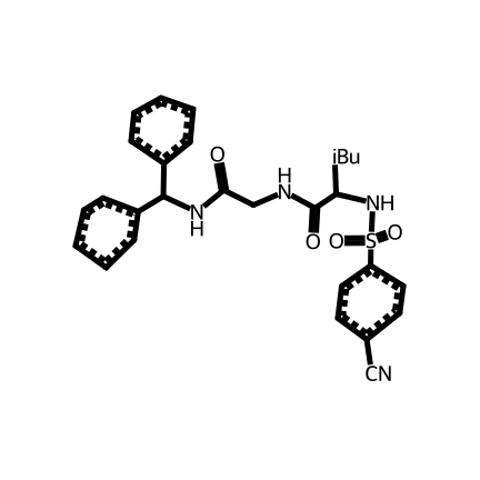 CCC(C)C(NS(=O)(=O)c1ccc(C#N)cc1)C(=O)NCC(=O)NC(c1ccccc1)c1ccccc1